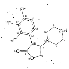 O=C1OCC(N2CCNCC2)N1c1ccc(F)c(F)c1F